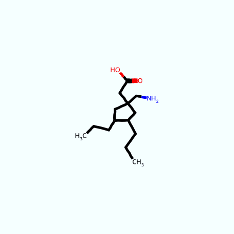 CCCC1CC(CN)(CC(=O)O)CC1CCC